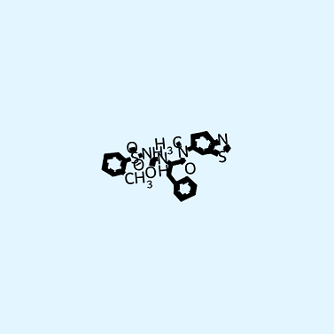 Cc1ccccc1S(=O)(=O)NC(=O)NC(Cc1ccccc1)C(=O)N(C)c1ccc2ncsc2c1